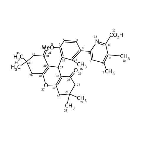 COc1ccc(-c2cc(C)c(C)c(C(=O)O)n2)c(C)c1C1C2=C(CC(C)(C)CC2=O)OC2=C1C(=O)CC(C)(C)C2